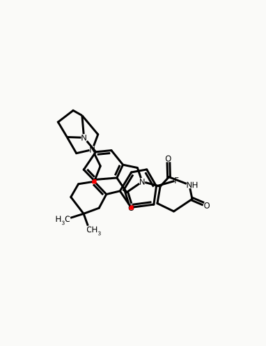 CC1(C)CCC(CN2CC3CCC(C2)N3c2ccc3c(c2)CN(C2CCC(=O)NC2=O)C3=O)=C(c2ccc(F)cc2)C1